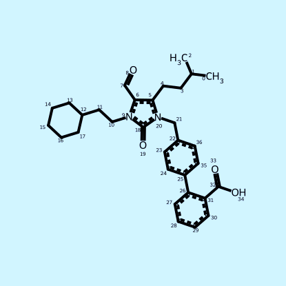 CC(C)CCc1c(C=O)n(CCC2CCCCC2)c(=O)n1Cc1ccc(-c2ccccc2C(=O)O)cc1